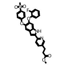 COC(=O)CCc1ccc(-c2cc3cc(Oc4ccc(S(C)(=O)=O)cc4)c(Oc4ccccc4F)cc3[nH]2)nc1